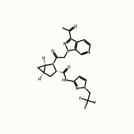 CC(=O)c1nn(CC(=O)N2[C@@H]3C[C@@H]3C[C@H]2C(=O)Nc2ccn(CC(F)(F)F)n2)c2cnccc12